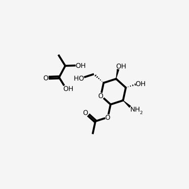 CC(=O)OC1O[C@H](CO)[C@@H](O)[C@H](O)[C@H]1N.CC(O)C(=O)O